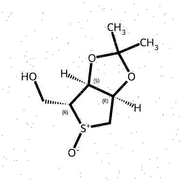 CC1(C)O[C@H]2[C@H](C[S+]([O-])[C@@H]2CO)O1